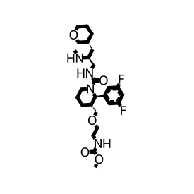 CN[C@H](CNC(=O)N1CCC[C@@H](COCCNC(=O)OC)[C@@H]1c1cc(F)cc(F)c1)C[C@H]1CCCOC1